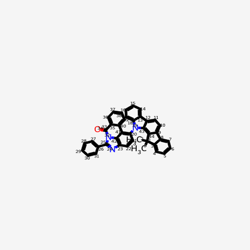 CC1(C)c2ccccc2-c2ccc3c4ccccc4n(-c4ccc5nc(-c6ccccc6)n6c(=O)c7ccccc7c4c56)c3c21